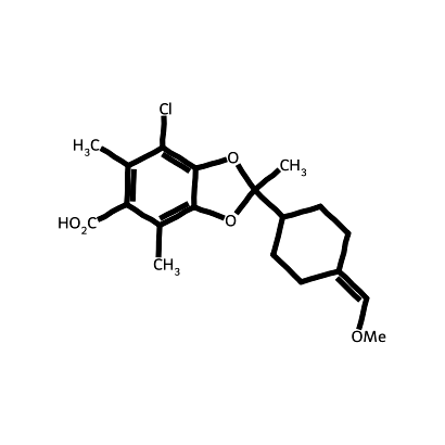 COC=C1CCC(C2(C)Oc3c(C)c(C(=O)O)c(C)c(Cl)c3O2)CC1